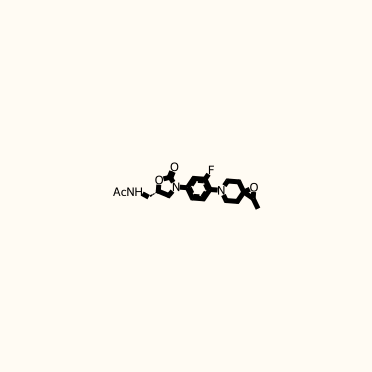 CC(=O)NC[C@H]1CN(c2ccc(N3CCC4(CC3)OC4C)c(F)c2)C(=O)O1